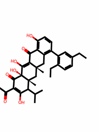 CCc1ccc(CC)c(-c2ccc(O)c3c2C[C@]2(C)C[C@]4(C)C(C(C)C)C(O)=C(C(C)=O)C(=O)[C@]4(O)C(O)=C2C3=O)c1